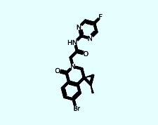 C[C@@H]1C[C@@]12CN(CC(=O)Nc1ncc(F)cn1)C(=O)c1ccc(Br)cc12